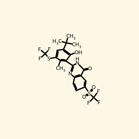 Cc1c(SC(F)(F)F)cc(C(C)(C)C)c(O)c1-c1nc2ccc(S(=O)(=O)C(F)(F)F)cc2c(=O)[nH]1